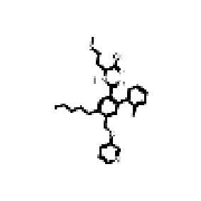 CCCCCc1cc(C(=O)NC(CCSC)C(=O)O)c(-c2ccccc2C)cc1COc1cccnc1